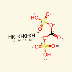 O=C(OS(=O)(=O)O)OS(=O)(=O)O.[KH].[KH].[KH].[KH]